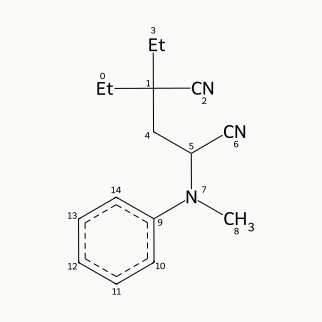 CCC(C#N)(CC)CC(C#N)N(C)c1ccccc1